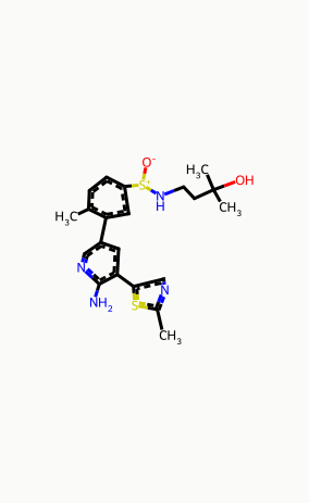 Cc1ncc(-c2cc(-c3cc([S+]([O-])NCCC(C)(C)O)ccc3C)cnc2N)s1